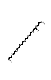 NCCNC(=O)COCCOCCOCCOCCOCCOCCN